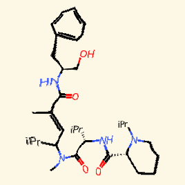 C/C(=C\C(C(C)C)N(C)C(=O)[C@@H](NC(=O)[C@H]1CCCCN1C(C)C)C(C)C)C(=O)N[C@H](CO)Cc1ccccc1